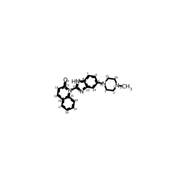 CN1CCN(c2ccc3[nH]c(-n4c(=O)ccc5ccccc54)nc3c2)CC1